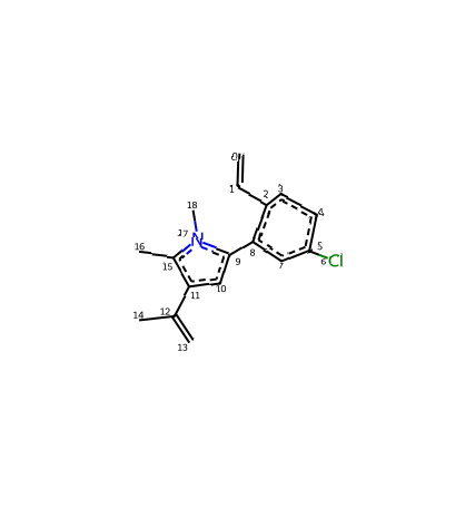 C=Cc1ccc(Cl)cc1-c1cc(C(=C)C)c(C)n1C